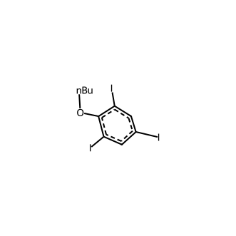 [CH2]CCCOc1c(I)cc(I)cc1I